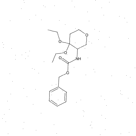 CCOC1(OCC)CCOCC1NC(=O)OCc1ccccc1